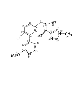 COc1cc(-c2cc(CN(C(=O)c3cn(C)cn3)C(C)C)ccc2F)ccn1